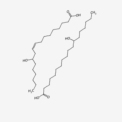 CCCCCCC(O)C/C=C\CCCCCCCC(=O)O.CCCCCCC(O)CCCCCCCCCCC(=O)O